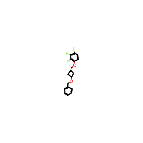 Fc1ccc(OC[C@H]2C[C@H](OCc3ccccc3)C2)c(F)c1F